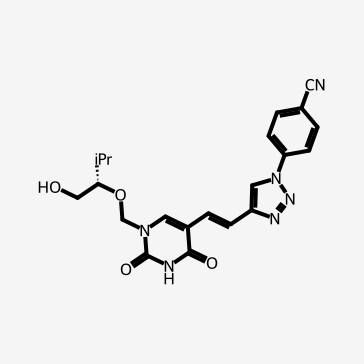 CC(C)[C@@H](CO)OCn1cc(/C=C/c2cn(-c3ccc(C#N)cc3)nn2)c(=O)[nH]c1=O